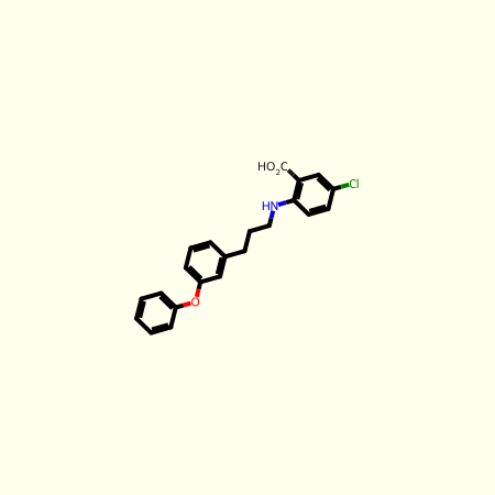 O=C(O)c1cc(Cl)ccc1NCCCc1cccc(Oc2ccccc2)c1